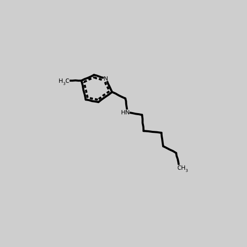 CCCCCCNCc1ccc(C)cn1